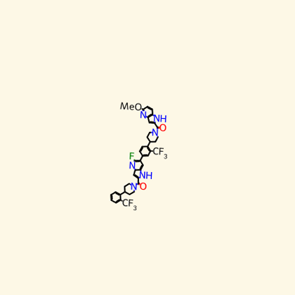 COc1ccc2[nH]c(C(=O)N3CCC(c4ccc(-c5cc6[nH]c(C(=O)N7CCC(c8ccccc8C(F)(F)F)CC7)cc6nc5F)cc4C(F)(F)F)CC3)cc2n1